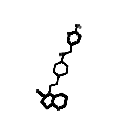 O=c1ccc2ncccc2n1CCN1CCC(NCc2ccc(C(F)(F)F)nc2)CC1